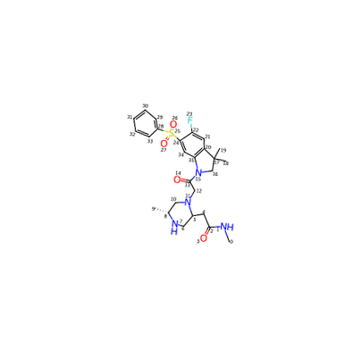 CNC(=O)CC1CN[C@H](C)CN1CC(=O)N1CC(C)(C)c2cc(F)c(S(=O)(=O)c3ccccc3)cc21